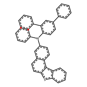 c1ccc(-c2ccc(N(c3ccccc3)c3ccc4c(ccc5sc6ccccc6c54)c3)c(-c3ccccc3)c2)cc1